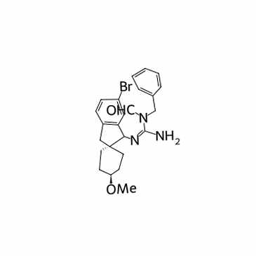 CO[C@H]1CC[C@]2(CC1)Cc1ccc(Br)cc1C2/N=C(/N)N(C=O)Cc1ccccc1